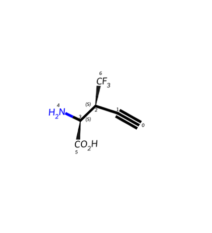 C#C[C@@H]([C@H](N)C(=O)O)C(F)(F)F